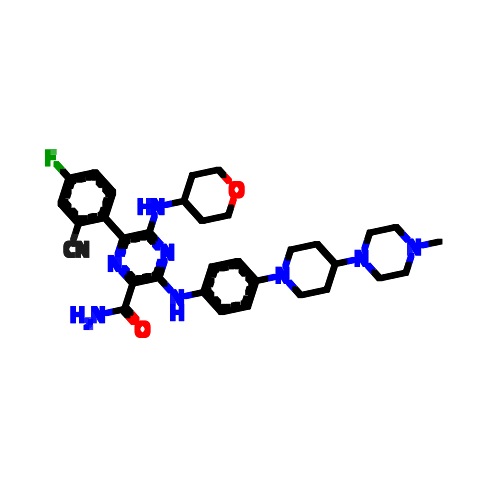 CN1CCN(C2CCN(c3ccc(Nc4nc(NC5CCOCC5)c(-c5ccc(F)cc5C#N)nc4C(N)=O)cc3)CC2)CC1